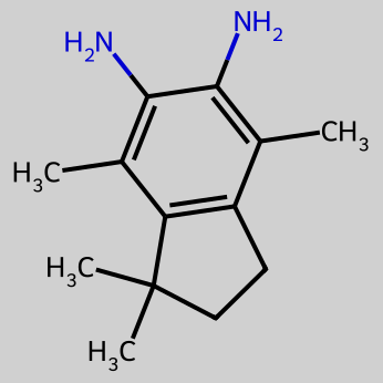 Cc1c(N)c(N)c(C)c2c1CCC2(C)C